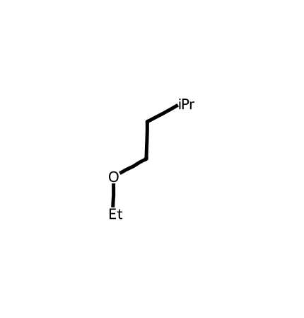 [CH2]COCCC(C)C